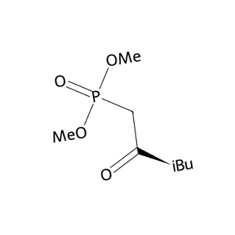 CC[C@H](C)C(=O)CP(=O)(OC)OC